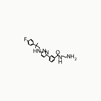 CC(C)(CNc1ccc(-c2cccc(C(=O)NCCN)c2)nn1)c1ccc(F)cc1